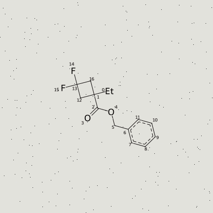 CCC1(C(=O)OCc2ccccc2)CC(F)(F)C1